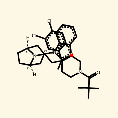 Cc1nc2ccccc2n1[C@H]1C[C@H]2CC[C@@H](C1)N2CCC1(c2ccc(Cl)c(Cl)c2)CCN(C(=O)C(C)(C)C)CC1